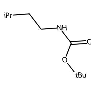 CC(C)C[CH]NC(=O)OC(C)(C)C